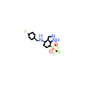 O=S(=O)(c1ccc(NCc2ccc(F)cc2)c2cn[nH]c12)C(F)(F)F